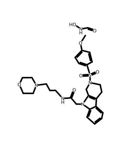 COc1ccc(S(=O)(=O)N2CCc3c(n(CC(=O)NCCCN4CCOCC4)c4ccccc34)C2)cc1.O=CNO